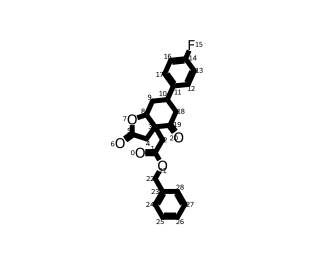 O=C(CC12CC(=O)OC1CC(c1ccc(F)cc1)CC2=O)OCc1ccccc1